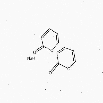 O=c1cccco1.O=c1cccco1.[NaH]